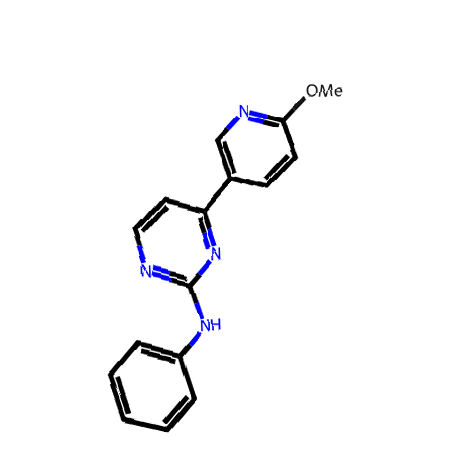 COc1ccc(-c2ccnc(Nc3ccccc3)n2)cn1